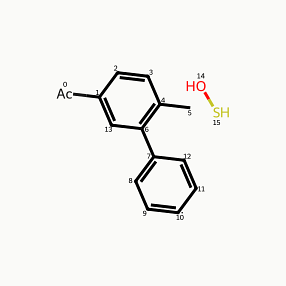 CC(=O)c1ccc(C)c(-c2cc[c]cc2)c1.OS